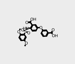 COc1ccc(OC)c(S(=O)(=O)Nc2ccc(Oc3cccc(C(=O)O)c3)cc2C(=O)O)c1